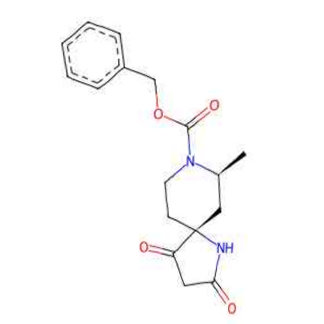 C[C@H]1C[C@@]2(CCN1C(=O)OCc1ccccc1)NC(=O)CC2=O